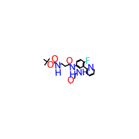 COCCNc1c(NC(=O)CCNC(=O)OC(C)(C)C)ccc(F)c1-c1ccccn1